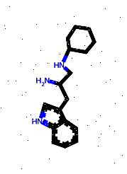 NC(CNC1CCCCC1)Cc1c[nH]c2ccccc12